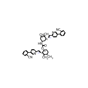 C[C@H]1[C@H](/C=C/c2ccc(-c3ccccc3C#N)cn2)[C@@H](OC(=O)NC2C[C@@H](/C=C/c3ccc(-c4ccccc4C#N)cn3)[C@H](C)[C@@H](C)C2)CC[C@@H]1C